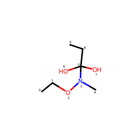 CCON(C)C(O)(O)CC